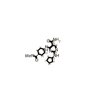 CNC(=O)[C@H]1CC[C@H](Nc2nc(NC3CCCC3)ncc2C(N)=O)CC1